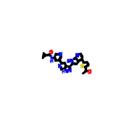 CC(=O)c1ccc(-c2ccnc3[nH]c(-c4n[nH]c5cnc(-c6cncc(NC(=O)C7CC7)c6)cc45)cc23)s1